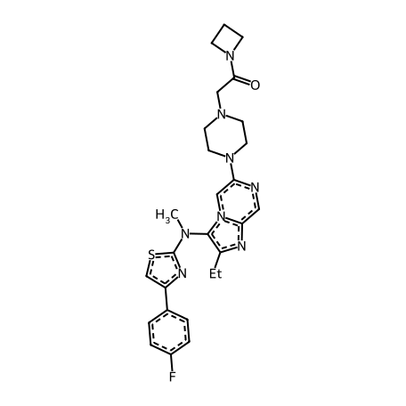 CCc1nc2cnc(N3CCN(CC(=O)N4CCC4)CC3)cn2c1N(C)c1nc(-c2ccc(F)cc2)cs1